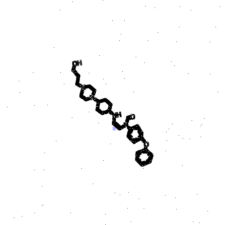 O=CN(/C=C\NC1CCC(N2CCN(CCCO)CC2)CC1)c1ccc(Oc2ccccc2)cc1